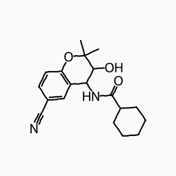 CC1(C)Oc2ccc(C#N)cc2C(NC(=O)C2CCCCC2)C1O